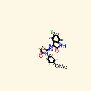 COc1ccc(N2C(=O)CSC2=NN=C2C(=O)Nc3ccc(F)cc32)cc1